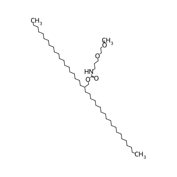 CCCCCCCCCCCCCCCCCCCCC(CCCCCCCCCCCCCCCCCCCC)COC(=O)NCCCOCCOC